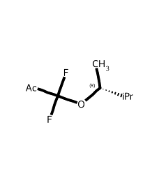 CC(=O)C(F)(F)O[C@H](C)C(C)C